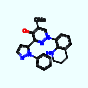 COc1cn(-c2cccc3c2NCCC3)nc(-c2ccnn2-c2ccccc2)c1=O